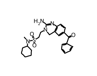 CN(C1CCCCC1)S(=O)(=O)CCN1Cc2cc(C(=O)c3ccccc3)ccc2N=C1N